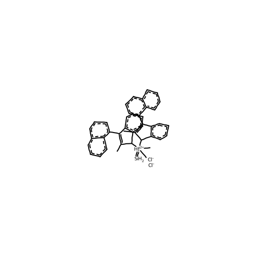 CC1=C(c2cccc3ccccc23)c2ccccc2[CH]1[Hf+2]([CH3])([CH3])(=[SiH2])[CH]1C(C)=C(c2cccc3ccccc23)c2ccccc21.[Cl-].[Cl-]